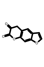 O=C1Cc2cc3ccoc3cc2OC1=O